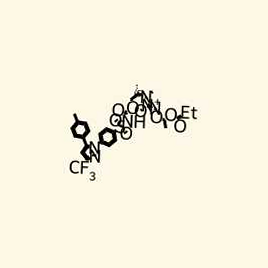 CCC(=O)OC(C)ON=[N+]([O-])N(C)[C@@H](C)COC(=O)NS(=O)(=O)c1ccc(-n2nc(C(F)(F)F)cc2-c2ccc(C)cc2)cc1